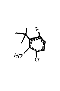 CC(C)(C)c1c(F)ccc(Cl)c1O